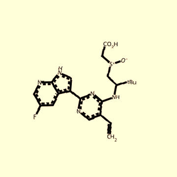 C=Cc1cnc(-c2c[nH]c3ncc(F)cc23)nc1NC(C[S+]([O-])CC(=O)O)C(C)(C)C